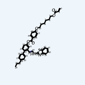 C=CC(=O)OCCCCCCOc1ccc(C(=O)Oc2ccc(-c3ccc(CCC)cc3)c(/C=C/Nc3nc4ccccc4s3)c2)cc1